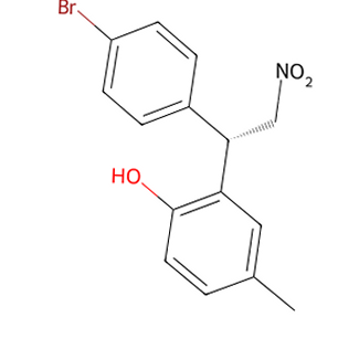 Cc1ccc(O)c([C@@H](C[N+](=O)[O-])c2ccc(Br)cc2)c1